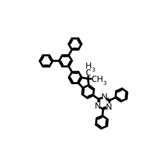 CC1(C)c2cc(-c3cc(-c4ccccc4)cc(-c4ccccc4)c3)ccc2-c2ccc(-c3nc(-c4ccccc4)nc(-c4ccccc4)n3)cc21